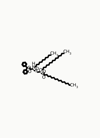 CCCCCCCCCCCCCCCC(=O)OC[C@H](CSC[C@H](NC(=O)CCCCCCCCCCC)C(=O)OC(c1ccccc1)c1ccccc1)OC(=O)CCCCCCCCCCCCCCC